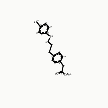 COC(=O)Cc1ccc(CCCSc2ccc(Cl)cc2)cc1